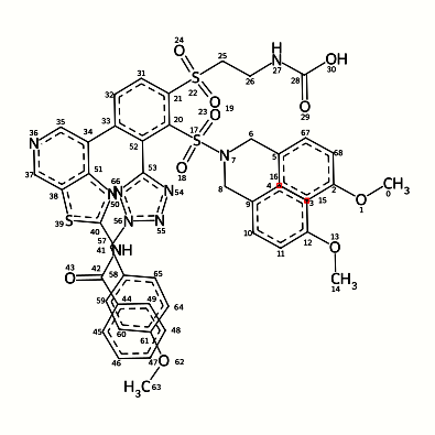 COc1ccc(CN(Cc2ccc(OC)cc2)S(=O)(=O)c2c(S(=O)(=O)CCNC(=O)O)ccc(-c3cncc4sc(NC(=O)c5ccccc5)nc34)c2-c2nnn(Cc3ccc(OC)cc3)n2)cc1